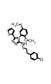 COc1ccc(SC)cc1-n1c(NSCCc2ccc(Cl)cc2)nnc1-c1cccs1